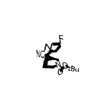 CC(C)(C)OC(=O)N1CCC2C(C1)C2(C#N)c1ccc(F)cn1